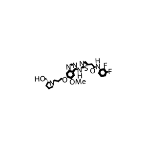 COc1cc2c(Nc3ncc(CC(=O)Nc4cccc(F)c4F)s3)ncnc2cc1OCCCN1CCC[C@@H]1CO